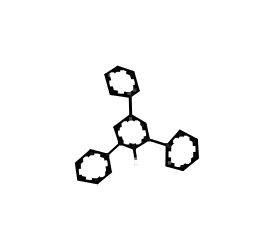 Fc1c(-c2ccccc2)cc(-c2ccccc2)cc1-c1ccccc1